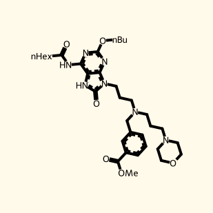 CCCCCCC(=O)Nc1nc(OCCCC)nc2c1[nH]c(=O)n2CCCN(CCCN1CCOCC1)Cc1cccc(C(=O)OC)c1